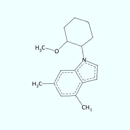 COC1CCCCC1n1ccc2c(C)cc(C)cc21